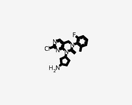 C=C1N(c2c(C)cccc2F)Cc2cnc(Cl)nc2N1C1CCC(N)C1